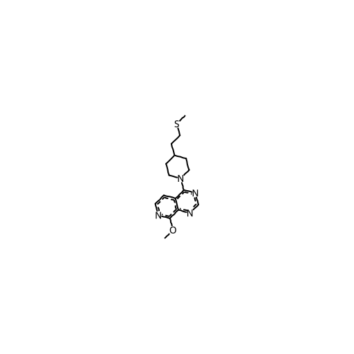 COc1nccc2c(N3CCC(CCSC)CC3)ncnc12